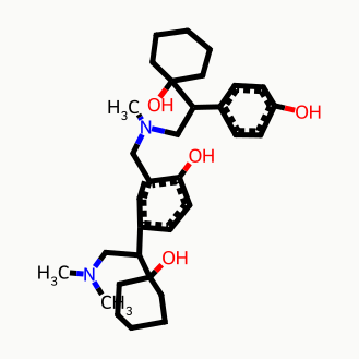 CN(C)CC(c1ccc(O)c(CN(C)CC(c2ccc(O)cc2)C2(O)CCCCC2)c1)C1(O)CCCCC1